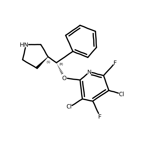 Fc1nc(O[C@@H](c2ccccc2)[C@H]2CCNC2)c(Cl)c(F)c1Cl